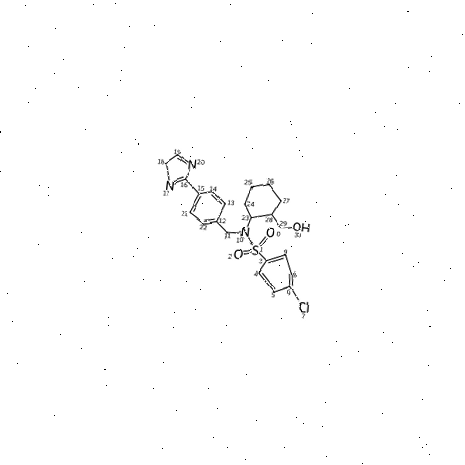 O=S(=O)(c1ccc(Cl)cc1)N(Cc1ccc(C2=NCC=N2)cc1)C1CCCCC1CO